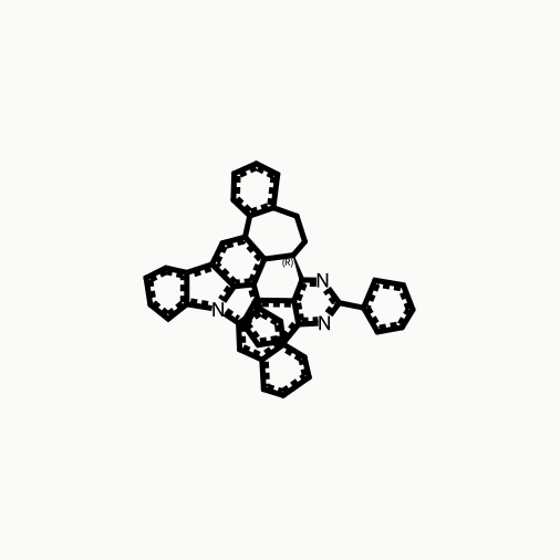 c1ccc(-c2nc([C@@H]3CCc4ccccc4-c4cc5c6ccccc6n6c7cc8ccccc8cc7c(c43)c56)c3ccccc3n2)cc1